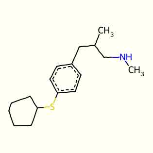 CNCC(C)Cc1ccc(SC2CCCCC2)cc1